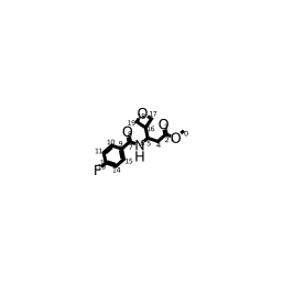 COC(=O)CC(NC(=O)c1ccc(F)cc1)C1COC1